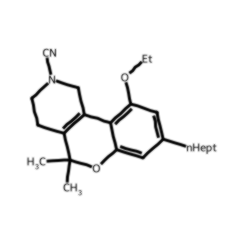 CCCCCCCc1cc(OCC)c2c(c1)OC(C)(C)C1=C2CN(C#N)CC1